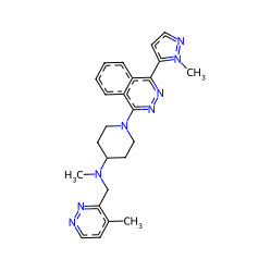 Cc1ccnnc1CN(C)C1CCN(c2nnc(-c3ccnn3C)c3ccccc23)CC1